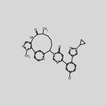 CC1CCCC(n2cnc(-c3cc(Cl)ccc3-c3cnn(C4CC4)c3)cc2=O)c2cc(ccn2)-c2c(cnn2C)NC1=O